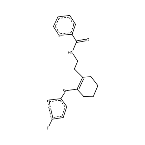 O=C(NCCC1=C([Se]c2ccc(F)cc2)CCCC1)c1ccccn1